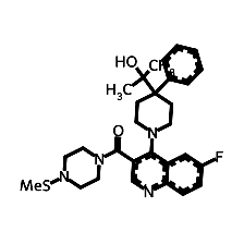 CSN1CCN(C(=O)c2cnc3ccc(F)cc3c2N2CCC(c3ccccc3)(C(C)(C)O)CC2)CC1